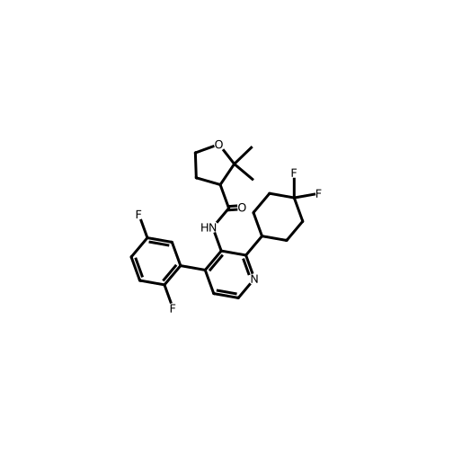 CC1(C)OCCC1C(=O)Nc1c(-c2cc(F)ccc2F)ccnc1C1CCC(F)(F)CC1